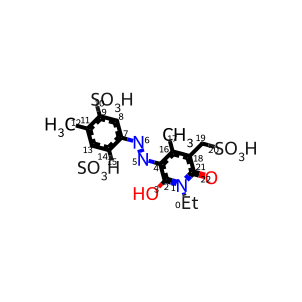 CCn1c(O)c(N=Nc2cc(S(=O)(=O)O)c(C)cc2S(=O)(=O)O)c(C)c(CS(=O)(=O)O)c1=O